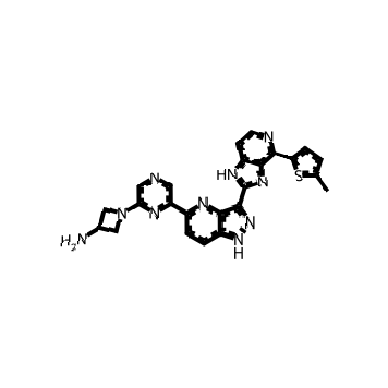 Cc1ccc(-c2nccc3[nH]c(-c4n[nH]c5ccc(-c6cncc(N7CC(N)C7)n6)nc45)nc23)s1